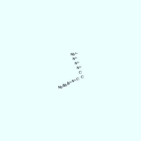 [C].[C].[C].[N-3].[N-3].[N-3].[N-3].[N-3].[Nb+5].[Nb+5].[Nb+5]